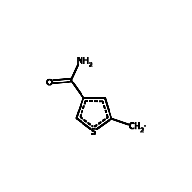 [CH2]c1cc(C(N)=O)cs1